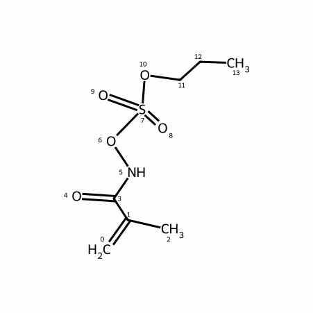 C=C(C)C(=O)NOS(=O)(=O)OCCC